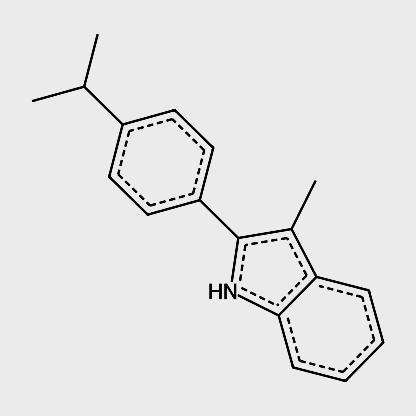 Cc1c(-c2ccc(C(C)C)cc2)[nH]c2ccccc12